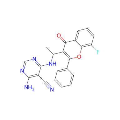 CC(Nc1ncnc(N)c1C#N)c1c(-c2ccccc2)oc2c(F)cccc2c1=O